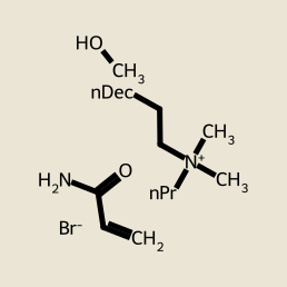 C=CC(N)=O.CCCCCCCCCCCC[N+](C)(C)CCC.CO.[Br-]